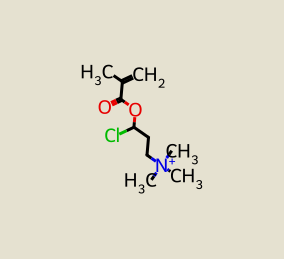 C=C(C)C(=O)OC(Cl)CC[N+](C)(C)C